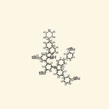 CC(C)(C)c1cccc(-c2ccc3c(c2)c2cc(-c4cccc(C(C)(C)C)c4)ccc2n3-c2cc(-c3cc(C(C)(C)C)cc4c3[nH]c3ccc5cc(C6CCCCC6)ccc5c34)cc(C(C)(C)C)c2)c1